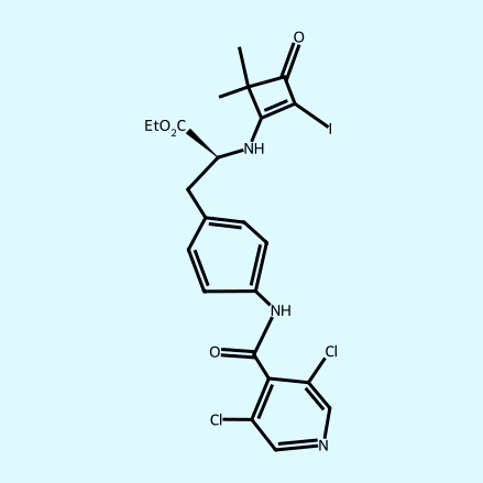 CCOC(=O)[C@H](Cc1ccc(NC(=O)c2c(Cl)cncc2Cl)cc1)NC1=C(I)C(=O)C1(C)C